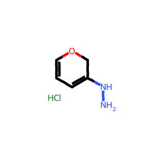 Cl.NNC1=CC=COC1